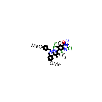 COc1ccc(CN(Cc2ccc(OC)cc2)c2cc(C)c(C(F)(F)F)c(-c3c(C(F)F)c(OC)c4c(=O)[nH]c(Cl)nc4c3F)n2)cc1